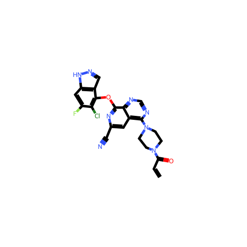 C=CC(=O)N1CCN(c2ncnc3c(Oc4c(Cl)c(F)cc5[nH]ncc45)nc(C#N)cc23)CC1